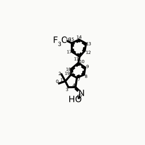 CC1(C)CC(=NO)c2ccc(-c3cccc(C(F)(F)F)c3)cc21